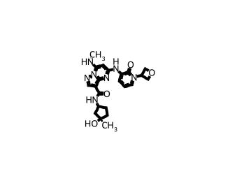 CNc1cc(Nc2cccn(C3COC3)c2=O)nc2c(C(=O)NC3CC[C@](C)(O)C3)cnn12